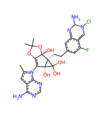 Cc1cc2c(N)ncnc2n1C1=C2OC(C)(C)O[C@]2(O)[C@@]2(CCc3cc(F)c4c(c3)=NC(N)N(Cl)C=4)C(O)(O)[C@@]12O